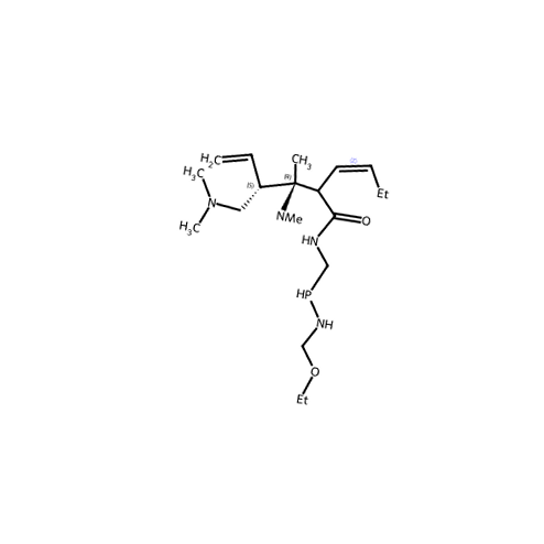 C=C[C@@H](CN(C)C)[C@@](C)(NC)C(/C=C\CC)C(=O)NCPNCOCC